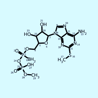 BP(=O)(OCC1OC(n2cnc3c(N)nc(SC)nc32)C(O)C1O)OP(=O)(O)OC